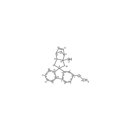 COc1ccc2c(c1)C1(CC3C4C=CC(C4)C3(S)C1)c1ccccc1-2